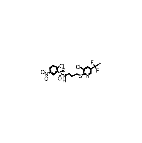 O=[N+]([O-])c1ccc(Cl)c(S(=O)(=O)NCCCSc2ncc(C(F)(F)F)cc2Cl)c1